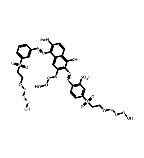 CNc1ccc2c(O)c(/N=N/c3ccc(S(=O)(=O)CCOSOOO)cc3S(=O)(=O)O)c(SOOO)cc2c1/N=N/c1cccc(S(=O)(=O)CCOSOOO)c1